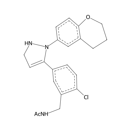 CC(=O)NCc1cc(C2=CCNN2c2ccc3c(c2)CCCO3)ccc1Cl